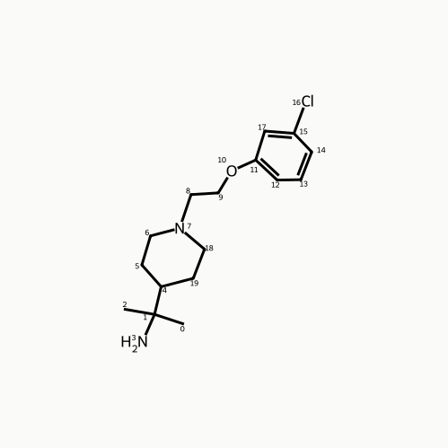 CC(C)(N)C1CCN(CCOc2cccc(Cl)c2)CC1